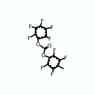 Cc1c(F)c(F)c(OC(=O)Oc2c(F)c(F)c(F)c(F)c2F)c(F)c1F